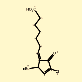 CCCCC1C=C(Cl)C(=O)C1=CCCCCCC(=O)O